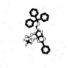 O=S(=O)(O[C@H]1[C@@H](COC(c2ccccc2)(c2ccccc2)c2ccccc2)OC2OC(c3ccccc3)O[C@@H]21)C(F)(F)F